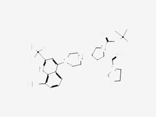 CC(C)(C)OC(=O)N1C[C@@H](N2CCN(c3cc(C(F)(F)F)nc4c(O)cccc34)CC2)C[C@H]1C(=O)N1CCSC1